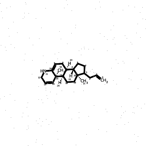 C=CCC1CC[C@H]2[C@@H]3CC=C4NCC=C[C@]4(C)[C@@H]3CC[C@]12C